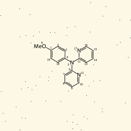 COc1ccc(N(c2ccccn2)c2ccccn2)cc1